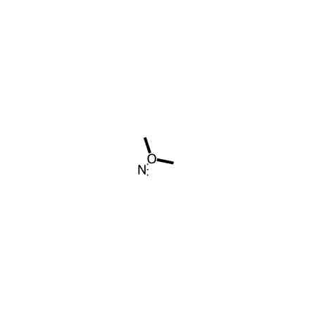 COC.[N]